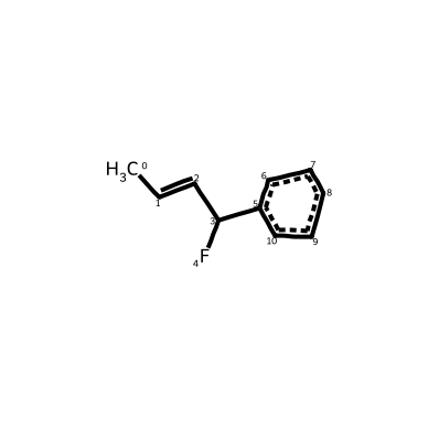 CC=CC(F)c1ccccc1